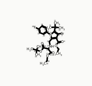 CCOC(=O)c1c(Br)c(C(C)(C)C)n(-c2ccc(F)cc2)c1CNC(C(=O)OCC)C(=O)OC(C)(C)C